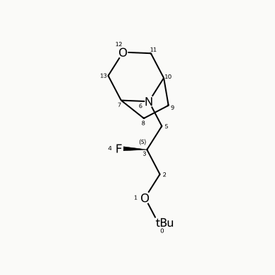 CC(C)(C)OC[C@@H](F)CN1C2CCC1COC2